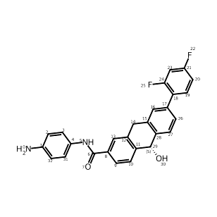 Nc1ccc(NC(=O)c2ccc3c(c2)Cc2cc(-c4ccc(F)cc4F)ccc2[C@@H]3O)cc1